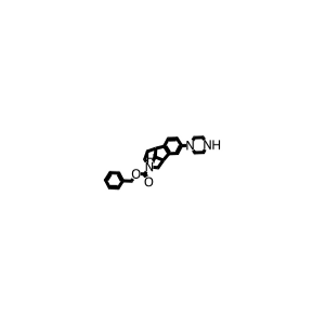 C[C@H]1C2CCN(C(=O)OCc3ccccc3)CC1c1cc(N3CCNCC3)ccc12